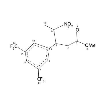 COC(=O)CC(c1cc(C(F)(F)F)cc(C(F)(F)F)c1)C(C)[N+](=O)[O-]